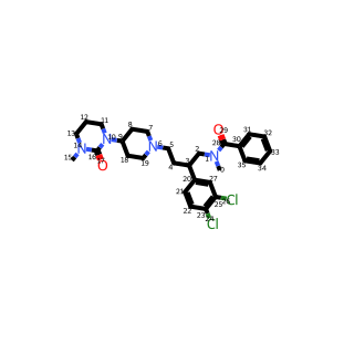 CN(CC(CCN1CCC(N2CCCN(C)C2=O)CC1)c1ccc(Cl)c(Cl)c1)C(=O)c1ccccc1